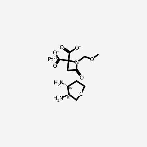 COCN1C(=O)CC1(C(=O)[O-])C(=O)[O-].N[C@@H]1CCCC[C@H]1N.[Pt+2]